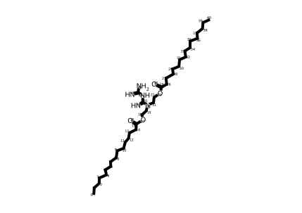 CCCCCCCCCCCCCCCC(=O)OCCN(CCOC(=O)CCCCCCCCCCCCCCC)C(=N)NC(=N)N